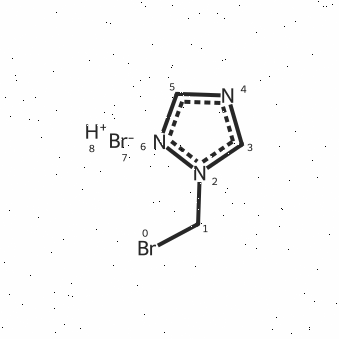 BrCn1cncn1.[Br-].[H+]